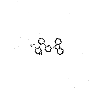 N#Cc1ccncc1-c1ccccc1-c1cccc(-n2c3ccccc3c3ccccc32)c1